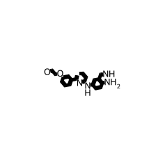 C=C(/N=C(\C=C/C)Nc1ccc(N)c(C=N)c1)c1cccc(OCC=O)c1